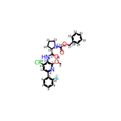 COc1nc(-c2ccccc2F)cc(Cl)c1NC(=O)[C@H]1CCCN1C(=O)OCc1ccccc1